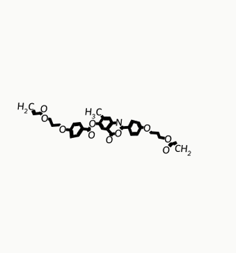 C=CC(=O)OCCCOc1ccc(C(=O)Oc2cc3c(=O)oc(-c4ccc(OCCCOC(=O)C=C)cc4)nc3cc2C)cc1